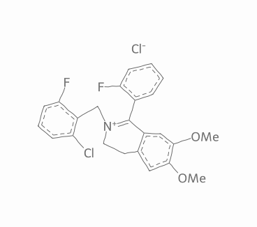 COc1cc2c(cc1OC)C(c1ccccc1F)=[N+](Cc1c(F)cccc1Cl)CC2.[Cl-]